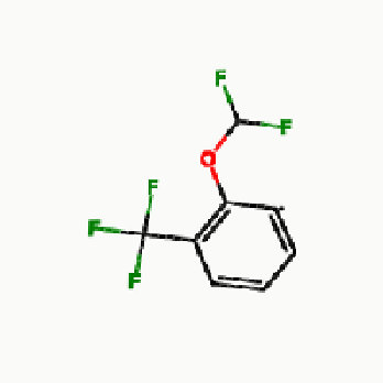 FC(F)Oc1[c]cccc1C(F)(F)F